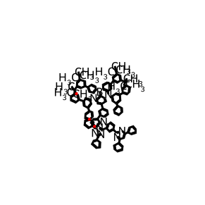 CC(C)(C)c1cc(-c2ccc3c(c2)N(c2cc(-c4ccccc4)cc(-c4ccccc4)c2)c2cc(-c4ccc5c(c4)c4ccccc4n5-c4ccc(-c5nc(-c6ccccc6)cc(-c6ccccc6)n5)cc4-c4nc(-c5ccccc5)nc(-c5ccccc5)n4)cc4c2B3c2ccc(-c3cc(C(C)(C)C)cc(C(C)(C)C)c3)cc2N4c2cc(-c3ccccc3)cc(-c3ccccc3)c2)cc(C(C)(C)C)c1